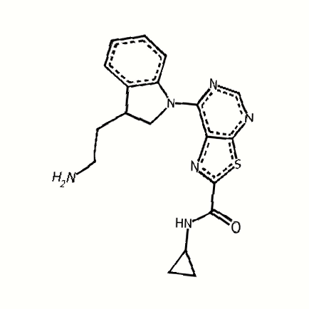 NCCC1CN(c2ncnc3sc(C(=O)NC4CC4)nc23)c2ccccc21